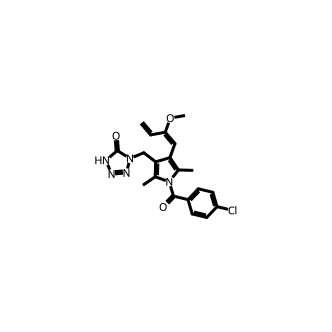 C=C/C(=C\c1c(Cn2nn[nH]c2=O)c(C)n(C(=O)c2ccc(Cl)cc2)c1C)OC